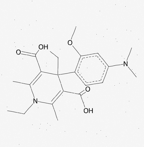 CCN1C(C)=C(C(=O)O)C(CC)(c2ccc(N(C)C)cc2OC)C(C(=O)O)=C1C